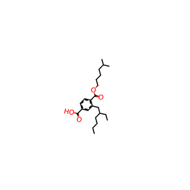 CCCCC(CC)Cc1cc(C(=O)O)ccc1C(=O)OCCCCC(C)C